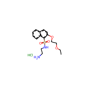 CCOCCOc1ccc2ccccc2c1S(=O)(=O)NCCN.Cl